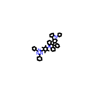 Cc1c(C)c(N2c3ccccc3C(c3ccccc3)(c3ccc4c(c3)c3ccccc3n4C3C=CC=CC3)c3ccccc32)c(C)c(C)c1-c1nc(-c2ccccc2)nc(-c2ccccc2)n1